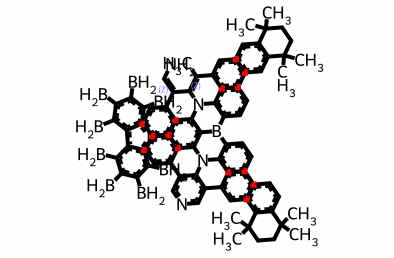 Bc1c(B)c(B)c2c(c1B)c1c(B)c(B)c(B)c(B)c1n2-c1cc2c3c(c1)N(c1c(-c4ccccc4)cncc1-c1ccccc1)c1cc(-c4ccc5c(c4)C(C)(C)CCC5(C)C)ccc1B3c1ccc(-c3ccc4c(c3)C(C)(C)CCC4(C)C)cc1N2C(/C(=C\N)c1ccccc1)=C(/C)c1ccccc1